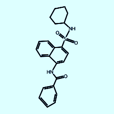 O=C(Nc1ccc(S(=O)(=O)NC2CCCCC2)c2ccccc12)c1ccccc1